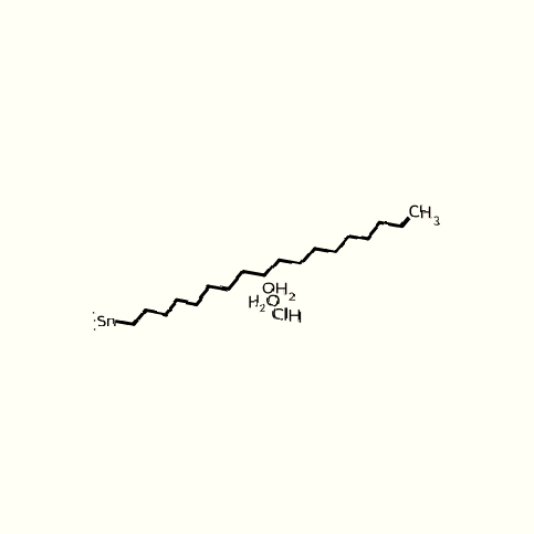 CCCCCCCCCCCCCCCCC[CH2][Sn].Cl.O.O